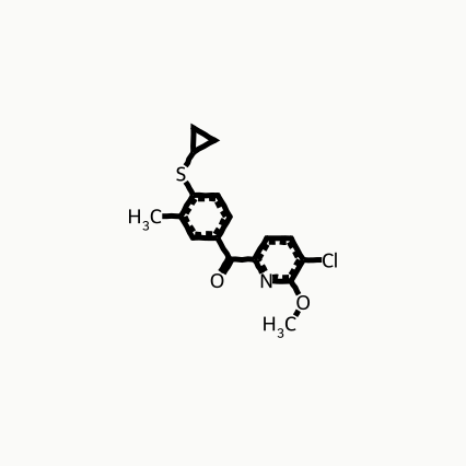 COc1nc(C(=O)c2ccc(SC3CC3)c(C)c2)ccc1Cl